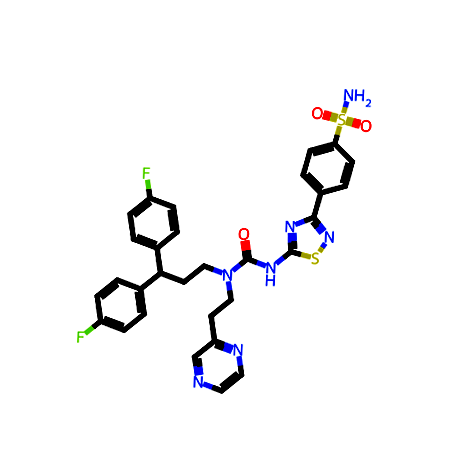 NS(=O)(=O)c1ccc(-c2nsc(NC(=O)N(CCc3cnccn3)CCC(c3ccc(F)cc3)c3ccc(F)cc3)n2)cc1